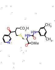 COC(=O)[C@H](CSCC(CC(=O)O)C(=O)c1cccnc1)NC(=O)Nc1cc(C)cc(C)c1